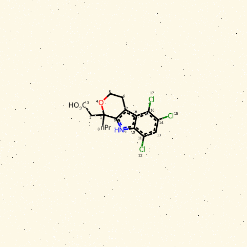 CCCC1(CC(=O)O)OCCc2c1[nH]c1c(Cl)cc(Cl)c(Cl)c21